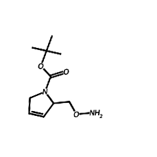 CC(C)(C)OC(=O)N1CC=CC1CON